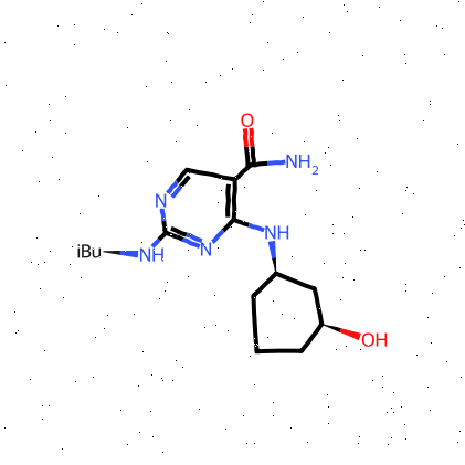 CC[C@H](C)Nc1ncc(C(N)=O)c(N[C@@H]2CCC[C@H](O)C2)n1